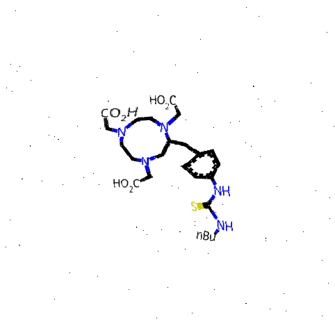 CCCCNC(=S)Nc1ccc(CC2CN(CC(=O)O)CCN(CC(=O)O)CCN2CC(=O)O)cc1